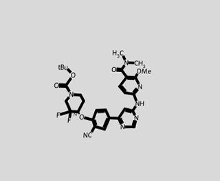 COc1nc(Nc2cc(-c3ccc(O[C@H]4CCN(C(=O)OC(C)(C)C)CC4(F)F)c(C#N)c3)ncn2)ccc1C(=O)N(C)C